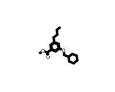 CCCCc1cc(OCC2CCCCC2)cc(C(=O)OC)c1